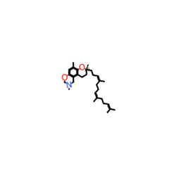 CC(C)=CCCC(C)=CCCC(C)=CCC[C@]1(C)CCc2c3c(cc(C)c2O1)OCN(C)C3